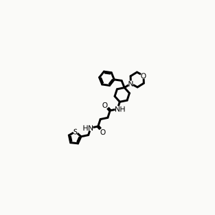 O=C(CCC(=O)NC1CCC(Cc2ccccc2)(N2CCOCC2)CC1)NCc1cccs1